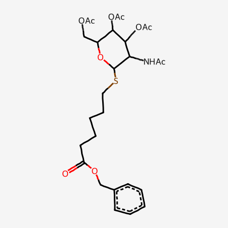 CC(=O)NC1C(SCCCCCC(=O)OCc2ccccc2)OC(COC(C)=O)C(OC(C)=O)C1OC(C)=O